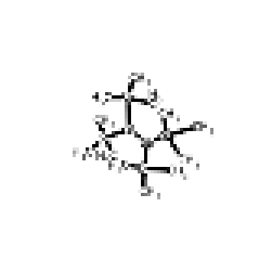 C[Si](C)(C)[Sb]([Sb]([Si](C)(C)C)[Si](C)(C)C)[Si](C)(C)C